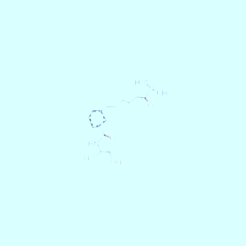 CC(CO)NC(=O)c1cccc(CCCCCC(=O)N(C)C)c1